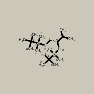 CC(C)[C@@H](CO[Si](C)(C)C(C)(C)C)O[Si](C)(C)C(C)(C)C